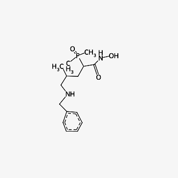 CC(CNCc1ccccc1)CC(C(=O)NO)P(C)(C)=O